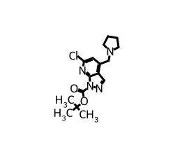 CC(C)(C)OC(=O)n1ncc2c(CN3CCCC3)cc(Cl)nc21